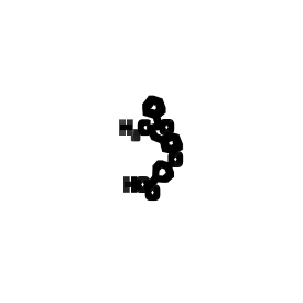 CC1Cc2cc(OC3CCC(C(=O)O)CC3)ccc2OC1c1ccccc1